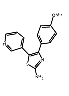 COc1ccc(-c2nc(N)sc2-c2cccnc2)cc1